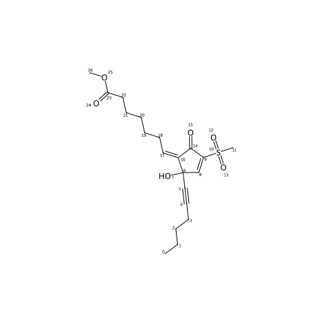 CCCCC#CC1(O)C=C(S(C)(=O)=O)C(=O)/C1=C\CCCCCC(=O)OC